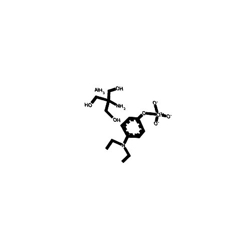 CCN(CC)c1ccc(O[Cl+3]([O-])([O-])[O-])cc1.NC(CO)(CO)CO.[AlH3]